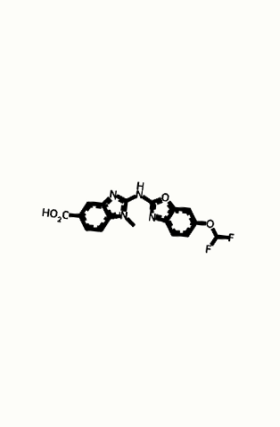 Cn1c(Nc2nc3ccc(OC(F)F)cc3o2)nc2cc(C(=O)O)ccc21